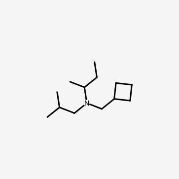 CCC(C)N(CC(C)C)CC1CCC1